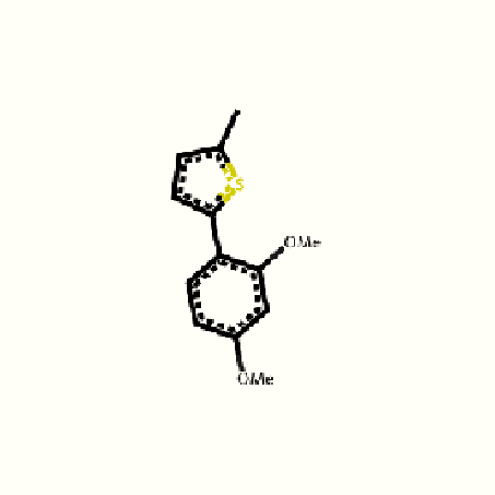 COc1ccc(-c2ccc(C)s2)c(OC)c1